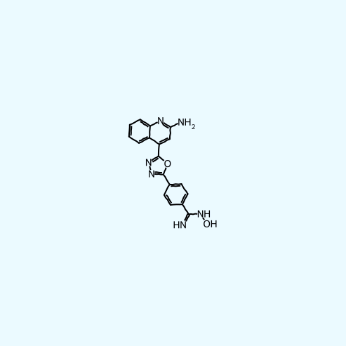 N=C(NO)c1ccc(-c2nnc(-c3cc(N)nc4ccccc34)o2)cc1